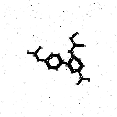 CCC(=O)Nc1ccc(N(C)C)cc1-c1ccc(CC(C)C)cc1